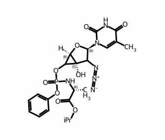 Cc1cn([C@@H]2O[C@@H]3C(OP(=O)(N[C@H](C)C(=O)OC(C)C)Oc4ccccc4)[C@]3(O)C2N=[N+]=[N-])c(=O)[nH]c1=O